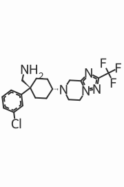 NC[C@]1(c2cccc(Cl)c2)CC[C@@H](N2CCn3nc(C(F)(F)F)nc3C2)CC1